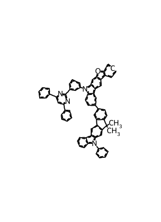 CC1(C)c2ccc(-c3ccc4c(c3)c3cc5c(cc3n4-c3cccc(-c4nc(-c6ccccc6)cc(-c6ccccc6)n4)c3)oc3ccccc35)cc2-c2cc3c4ccccc4n(-c4ccccc4)c3cc21